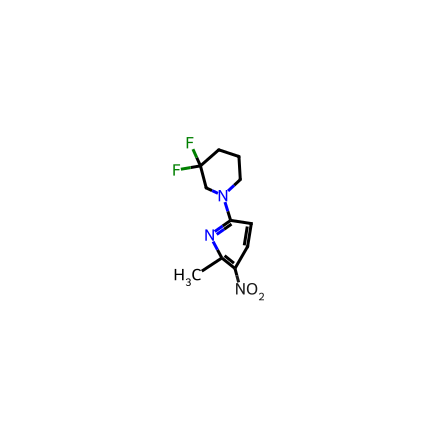 Cc1nc(N2CCCC(F)(F)C2)ccc1[N+](=O)[O-]